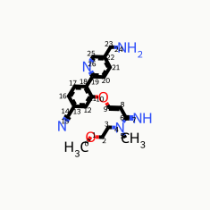 COCCN(C)C(=N)/C=C/Oc1cc(C#N)ccc1-c1ccc(CN)cn1